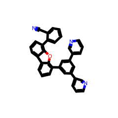 N#Cc1ccccc1-c1cccc2c1oc1c(-c3cc(-c4cccnc4)cc(-c4cccnc4)c3)cccc12